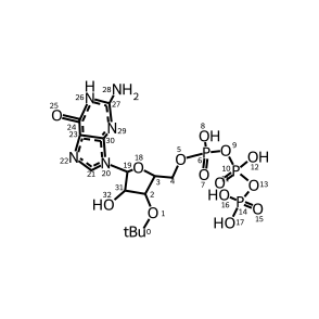 CC(C)(C)OC1C(COP(=O)(O)OP(=O)(O)OP(=O)(O)O)OC(n2cnc3c(=O)[nH]c(N)nc32)C1O